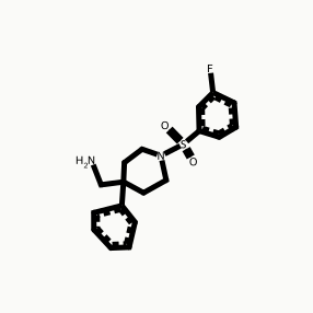 NCC1(c2ccccc2)CCN(S(=O)(=O)c2cccc(F)c2)CC1